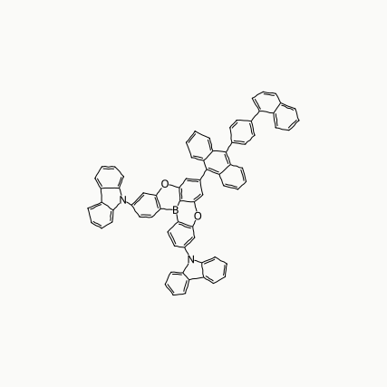 c1ccc2c(-c3ccc(-c4c5ccccc5c(-c5cc6c7c(c5)Oc5cc(-n8c9ccccc9c9ccccc98)ccc5B7c5ccc(-n7c8ccccc8c8ccccc87)cc5O6)c5ccccc45)cc3)cccc2c1